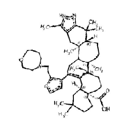 Cc1[nH]nc2c1C[C@]1(C)C3CC(c4ccoc4CN4CCOCC4)=C4[C@@H]5CC(C)(C)CC[C@]5(C(=O)O)CC[C@@]4(C)[C@]3(C)CC[C@H]1C2(C)C